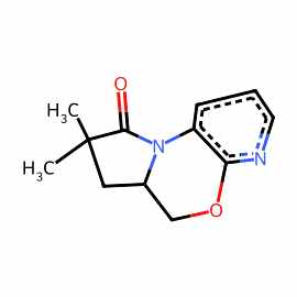 CC1(C)CC2COc3ncccc3N2C1=O